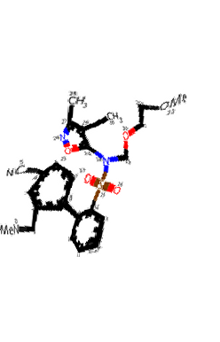 CNCc1cc(C#N)ccc1-c1ccccc1S(=O)(=O)N(COCCOC)c1onc(C)c1C